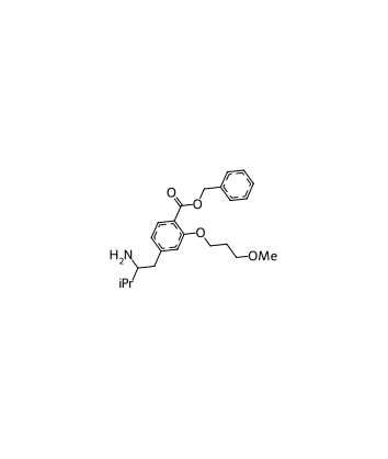 COCCCOc1cc(CC(N)C(C)C)ccc1C(=O)OCc1ccccc1